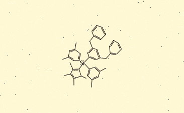 CC1=C(C)C(C)C([Si](c2cc(C)cc(C)c2)(c2cc(C)cc(C)c2)c2cc(Cc3ccccc3)cc(Cc3ccccc3)c2)=C1C